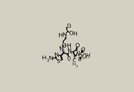 C[C@H]1[C@H](NC(=O)/C(=N\OCCNC(O)C=O)c2csc(N)n2)C(=O)N1S(=O)(=O)O